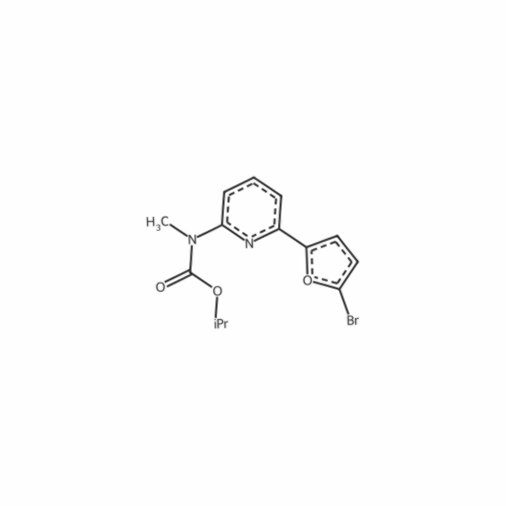 CC(C)OC(=O)N(C)c1cccc(-c2ccc(Br)o2)n1